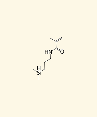 C=C(C)C(=O)NCCC[SiH](C)C